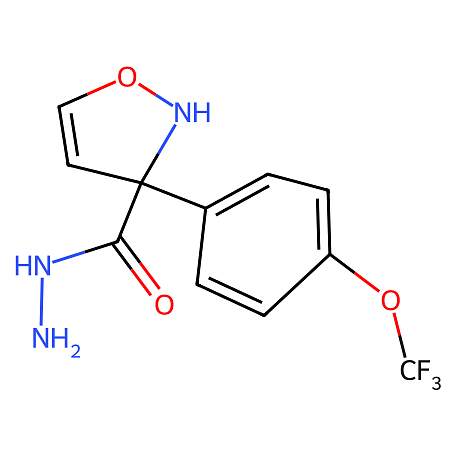 NNC(=O)C1(c2ccc(OC(F)(F)F)cc2)C=CON1